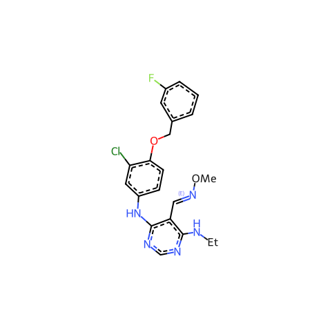 CCNc1ncnc(Nc2ccc(OCc3cccc(F)c3)c(Cl)c2)c1/C=N/OC